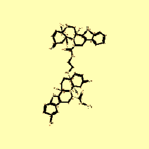 COC(=O)[C@@H]1Cc2c([nH]c3ccc(O)cc23)[C@@H]2CC[C@@]3(OCCOC(=O)[C@@H]4Cc5c([nH]c6ccccc56)[C@@H]5CO[C@@]6(C)C=CC(=O)C[C@H]6N45)C=CC(=O)C[C@H]3N12